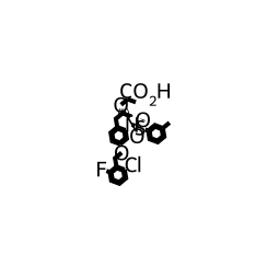 Cc1cccc(S(=O)(=O)N2C[C@H](OC(C)C(=O)O)Cc3ccc(OCc4c(F)cccc4Cl)cc32)c1